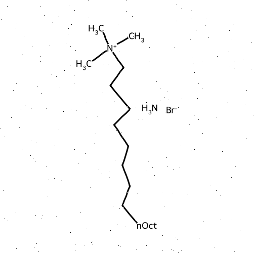 CCCCCCCCCCCCCCCC[N+](C)(C)C.N.[Br-]